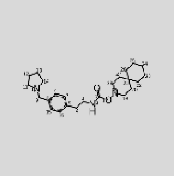 O=C(NCCc1ccc(CN2CCCC2)cc1)ON1CCC2(CCCCC2)CC1